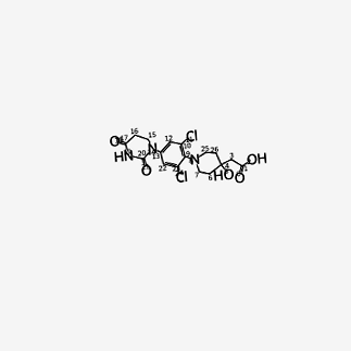 O=C(O)CC1(O)CCN(c2c(Cl)cc(N3CCC(=O)NC3=O)cc2Cl)CC1